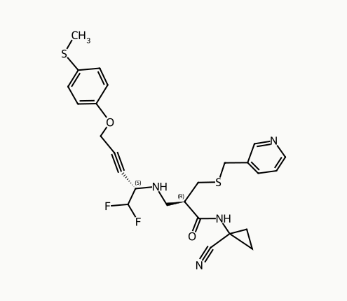 CSc1ccc(OCC#C[C@H](NC[C@@H](CSCc2cccnc2)C(=O)NC2(C#N)CC2)C(F)F)cc1